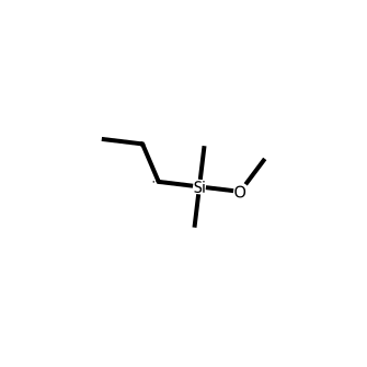 CC[CH][Si](C)(C)OC